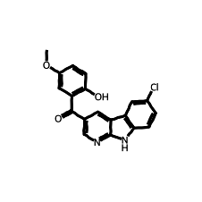 COc1ccc(O)c(C(=O)c2cnc3[nH]c4ccc(Cl)cc4c3c2)c1